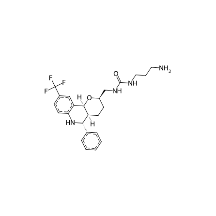 NCCCNC(=O)NC[C@H]1CC[C@@H]2[C@H](O1)c1cc(C(F)(F)F)ccc1N[C@H]2c1ccccc1